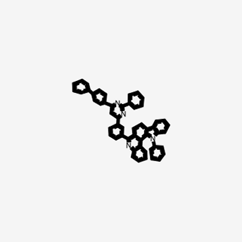 c1ccc(-c2ccc(-c3cc(-c4cccc(-c5nc6ccccc6c6c5ccc5c7ccccc7n(-c7ccccc7)c56)c4)nc(-c4ccccc4)n3)cc2)cc1